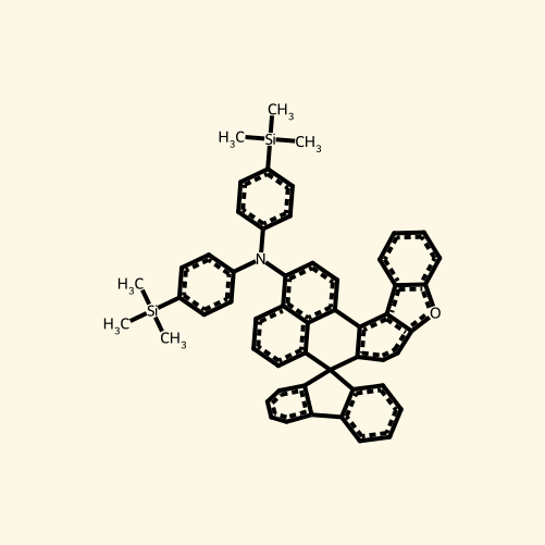 C[Si](C)(C)c1ccc(N(c2ccc([Si](C)(C)C)cc2)c2ccc3c4c(cccc24)C2(c4ccccc4-c4ccccc42)c2ccc4oc5ccccc5c4c2-3)cc1